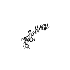 CC(C)[Si](C)(C)CCCOCCOC(=O)CCC(C)(C#N)SC(=S)Sc1ccccc1